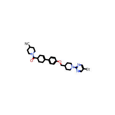 CCc1cnc(N2CCC(COc3ccc(C4=CCC(C(=O)N5CCC(C#N)CC5)CC4)cc3)CC2)nc1